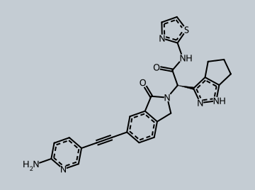 Nc1ccc(C#Cc2ccc3c(c2)C(=O)N([C@@H](C(=O)Nc2nccs2)c2n[nH]c4c2CCC4)C3)cn1